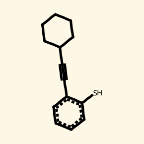 Sc1ccccc1C#CC1CCCCC1